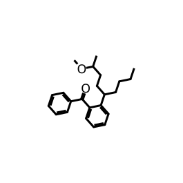 CCCCC(CCC(C)OC)c1ccccc1C(=O)c1ccccc1